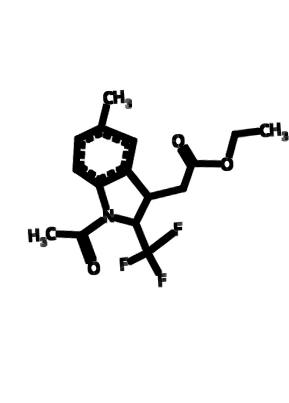 CCOC(=O)CC1c2cc(C)ccc2N(C(C)=O)C1C(F)(F)F